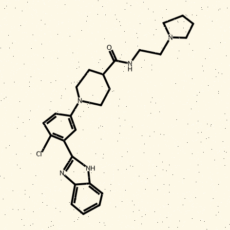 O=C(NCCN1CCCC1)C1CCN(c2ccc(Cl)c(-c3nc4ccccc4[nH]3)c2)CC1